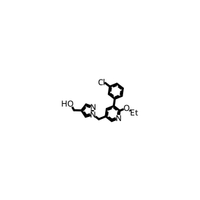 CCOc1ncc(Cn2cc(CO)cn2)cc1-c1cccc(Cl)c1